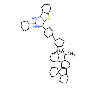 CC1(C)C2CCC3=C(C2C2CCC=C(C4CCCC(C5C=CC(C6NC(C7CC=CCC7)NC7C8CCCCC8SC67)CC5)C4)C21)C1(CCCCC1)C1CCCCC31